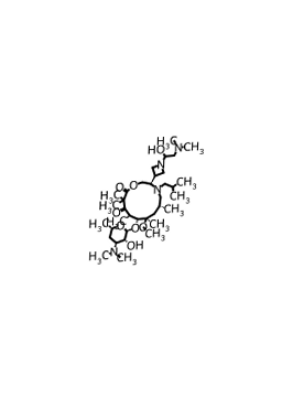 CO[C@]1(C)C[C@@H](C)CN(CC(C)C)[C@H](C2CN(C(O)CN(C)C)C2)COC(=O)C(C)(C)C(=O)[C@H](C)[C@H]1O[C@@H]1O[C@H](C)C[C@H](N(C)C)[C@H]1O